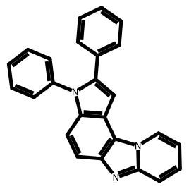 c1ccc(-c2cc3c(ccc4nc5ccccn5c43)n2-c2ccccc2)cc1